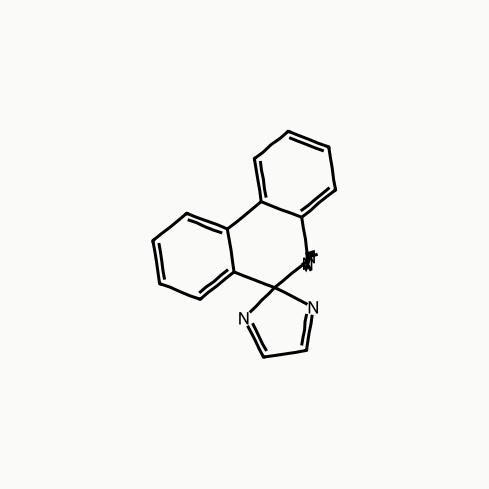 C1=NC2(N=C1)c1ccccc1-c1ccccc1C21N=CC=N1